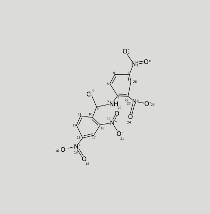 O=[N+]([O-])c1ccc(NC(Cl)c2ccc([N+](=O)[O-])cc2[N+](=O)[O-])c([N+](=O)[O-])c1